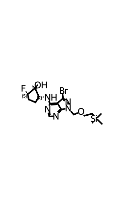 C[Si](C)(C)CCOCn1nc(Br)c2c(N[C@@H]3CC[C@H](F)[C@H]3O)ncnc21